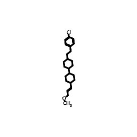 COCC=CC1CCC(C2CCC(CCc3ccc(Cl)cc3)CC2)CC1